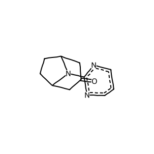 O=C1CC2CCC(C1)N2c1ncccn1